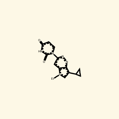 CCn1cc(C2CC2)c2nnc(-n3ccc(=O)[nH]c3=O)cc21